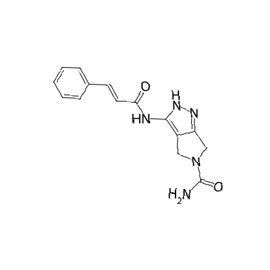 NC(=O)N1Cc2n[nH]c(NC(=O)/C=C/c3ccccc3)c2C1